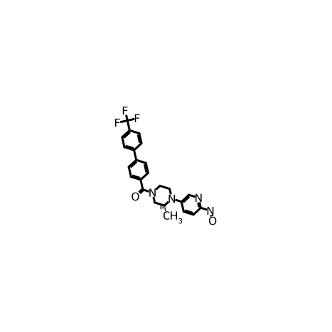 C[C@@H]1CN(C(=O)c2ccc(-c3ccc(C(F)(F)F)cc3)cc2)CCN1c1ccc(N=O)nc1